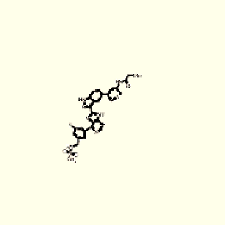 CC(C)(C)CC(=O)Nc1cncc(-c2ccc3[nH]nc(-c4nc5c(-c6cc(F)cc(CNS(C)(=O)=O)c6)nccc5[nH]4)c3c2)c1